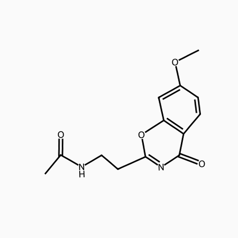 COc1ccc2c(=O)nc(CCNC(C)=O)oc2c1